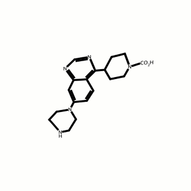 O=C(O)N1CCC(c2ncnc3cc(N4CCNCC4)ccc23)CC1